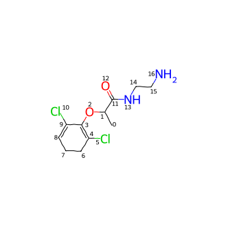 CC(OC1=C(Cl)CCC=C1Cl)C(=O)NCCN